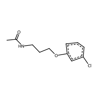 CC(=O)NCCCOc1cccc(Cl)c1